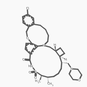 C[C@@H]1[C@@H](C)CCC[C@@H](CN2CCOCC2)[C@@H]2CC[C@H]2CN2CCCCc3cc(Cl)ccc3COc3ccc(cc32)C(=O)NS1(=O)=O